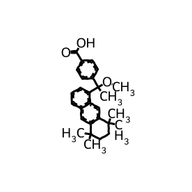 COC(C)(c1ccc(C(=O)O)cc1)c1cccc2cc3c(cc12)C(C)(C)CCC3(C)C